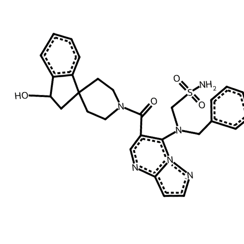 NS(=O)(=O)CN(Cc1ccccc1)c1c(C(=O)N2CCC3(CC2)CC(O)c2ccccc23)cnc2ccnn12